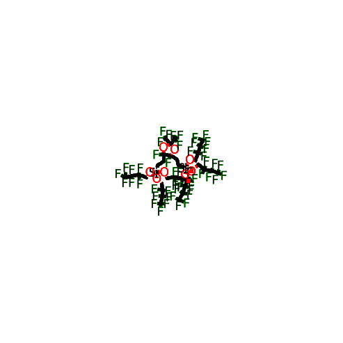 FC(F)(F)C(F)(F)C(F)(F)CO[Si](CCC1(F)OC(C(F)(F)F)(C(F)(F)F)OC1(F)CC[Si](OCC(F)(F)C(F)(F)C(F)(F)F)(OCC(F)(F)C(F)(F)C(F)(F)F)OCC(F)(F)C(F)(F)C(F)(F)F)(OCC(F)(F)C(F)(F)C(F)(F)F)OCC(F)(F)C(F)(F)C(F)(F)F